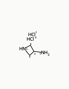 Cl.Cl.NC1CNC1